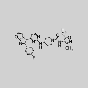 Cc1noc(C)c1NC(=O)N1CCC(Nc2nccc(C3C(c4ccc(F)cc4)N=C4OC=CN43)n2)CC1